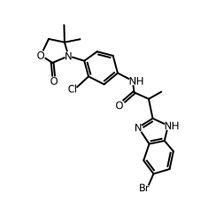 CC(C(=O)Nc1ccc(N2C(=O)OCC2(C)C)c(Cl)c1)c1nc2cc(Br)ccc2[nH]1